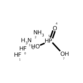 F.F.N.N.O=[PH](O)O